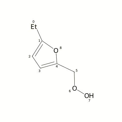 CCc1ccc(COO)o1